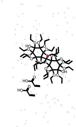 C=CC(=O)O.C=CC(=O)O.CCOC1(O)C(OCC)(OCC)C(OCC)(OCC)C(OCC)(C(C)(C)C2(OCC)C(OCC)(OCC)C(OCC)(OCC)C(O)(OCC)C(OCC)(OCC)C2(OCC)OCC)C(OCC)(OCC)C1(OCC)OCC